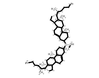 CC(C)CCC[C@@H](C)[C@H]1CCC2C3CC=C4CC(OC5CC[C@@]6(C)C(=CCC7C6CC[C@@]6(C)C7CC[C@@H]6[C@H](C)CCCC(C)C)C5)CC[C@]4(C)C3CC[C@@]21C.O=C(O)O